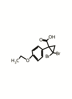 CCOc1ccc(C2(C(=O)O)CC2(Br)Br)cc1